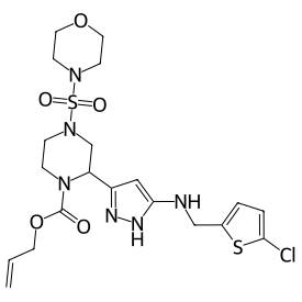 C=CCOC(=O)N1CCN(S(=O)(=O)N2CCOCC2)CC1c1cc(NCc2ccc(Cl)s2)[nH]n1